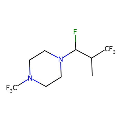 CC(C(F)N1CCN(C(F)(F)F)CC1)C(F)(F)F